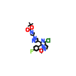 COc1cc(F)ccc1-c1c(-c2cnn(C3CN(C(=O)OC(C)(C)C)C3)c2)nc(Cl)c2ccnn12